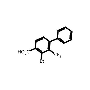 CCc1c(C(=O)O)ccc(-c2ccccc2)c1C(F)(F)F